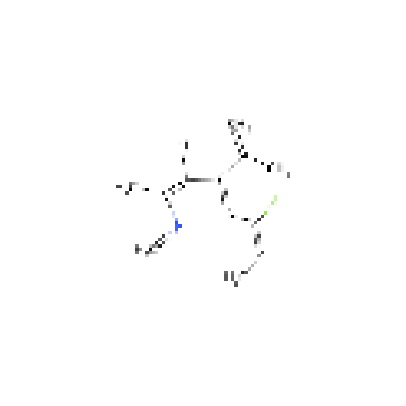 C=N\C(C)=C(C)/C(=C/C(F)=C\C)C(=C)C